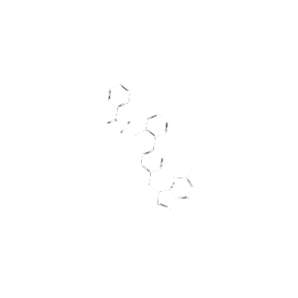 CCc1nc2c(C)cc(C)nc2n1Cc1ccc(-c2ccncc2NS(=O)(=O)C(=O)c2ccccc2)cc1